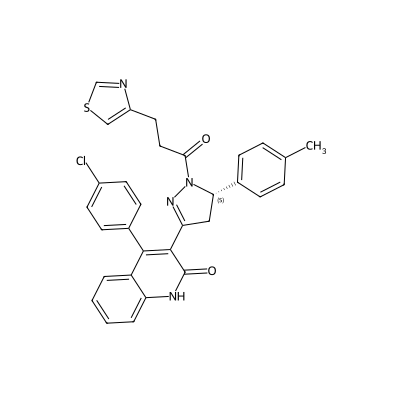 Cc1ccc([C@@H]2CC(c3c(-c4ccc(Cl)cc4)c4ccccc4[nH]c3=O)=NN2C(=O)CCc2cscn2)cc1